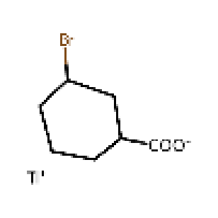 O=C([O-])C1CCCC(Br)C1.[Tl+]